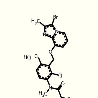 CCC(=O)N(C)c1ccc(Cl)c(COc2cccn3c(Br)c(C)nc23)c1Cl.Cl